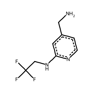 NCc1ccnc(NCC(F)(F)F)c1